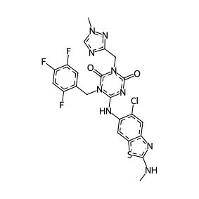 CNc1nc2cc(Cl)c(Nc3nc(=O)n(Cc4ncn(C)n4)c(=O)n3Cc3cc(F)c(F)cc3F)cc2s1